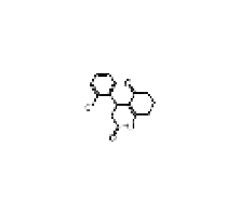 O=C1CC(c2ccccc2Cl)C2=C(CCCC2=O)O1